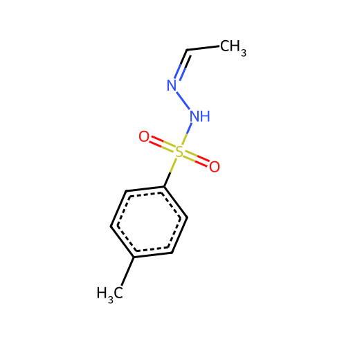 C/C=N\NS(=O)(=O)c1ccc(C)cc1